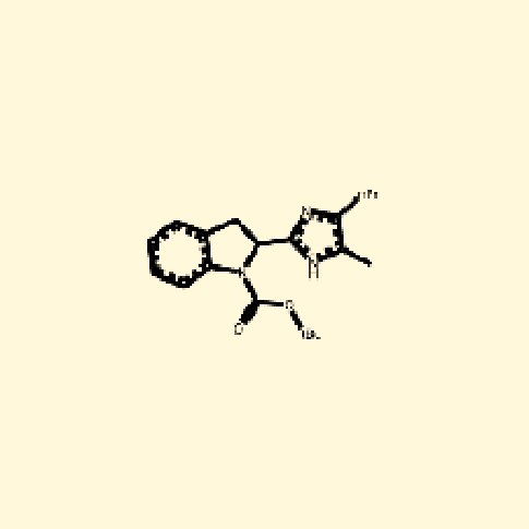 CCCc1nc(C2Cc3ccccc3N2C(=O)OC(C)(C)C)[nH]c1C